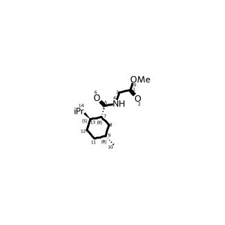 COC(=O)CNC(=O)[C@@H]1C[C@H](C)CC[C@H]1C(C)C